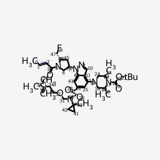 C/C=C/C(=O)N1C[C@H](n2ncc3c(N4C[C@H](C)N(C(=O)OC(C)(C)C)[C@@H](C)C4)cc(S(=O)(=O)N(COCC[Si](C)(C)C)C4(C)CC4)cc32)C[C@H]1CF